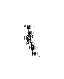 CC(=O)N(O)CCCCCNC(=O)CCC(=O)N(O)CCCCCNC(=O)CCC(=O)N(O)CCCCCN.CCO